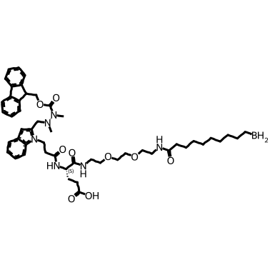 BCCCCCCCCCC(=O)NCCOCCOCCNC(=O)[C@H](CCC(=O)O)NC(=O)CCn1c(CN(C)N(C)C(=O)OCC2c3ccccc3-c3ccccc32)cc2ccccc21